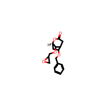 O=C1CC2C(OCc3ccccc3)C[C@@H](O1)C2OCC1CO1